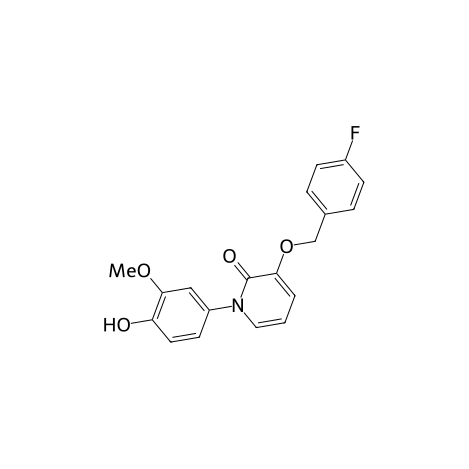 COc1cc(-n2cccc(OCc3ccc(F)cc3)c2=O)ccc1O